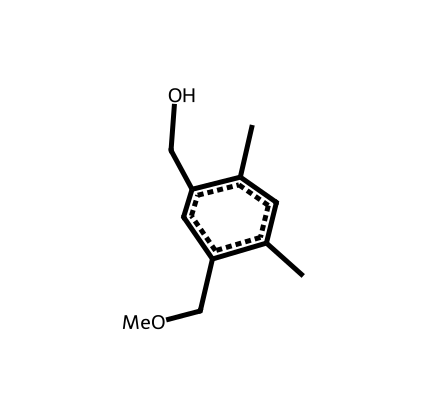 COCc1cc(CO)c(C)cc1C